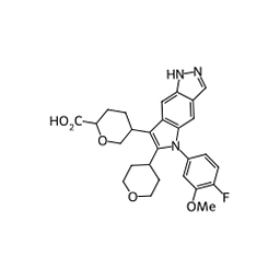 COc1cc(-n2c(C3CCOCC3)c(C3CCC(C(=O)O)OC3)c3cc4[nH]ncc4cc32)ccc1F